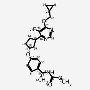 COC(=O)N[C@@H](C)c1ccc(O[C@@H]2CCC(c3ncnc(OCC4CC4)c3F)C2)cc1